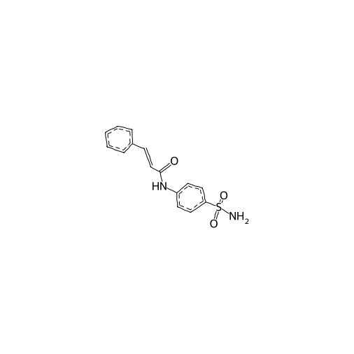 NS(=O)(=O)c1ccc(NC(=O)C=Cc2ccccc2)cc1